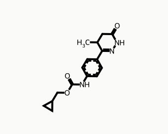 CC1CC(=O)NN=C1c1ccc(NC(=O)OCC2CC2)cc1